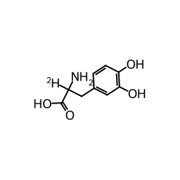 [2H]C(N)(Cc1ccc(O)c(O)c1)C(=O)O